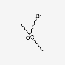 CCCCCCCCOC(=O)C(CCCCCC)CCCCCCCCBr